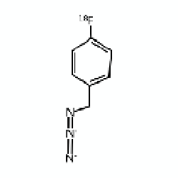 [N-]=[N+]=NCc1ccc([18F])cc1